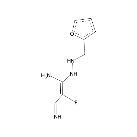 N=C/C(F)=C(\N)NNCc1ccco1